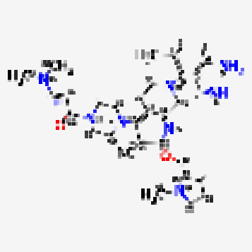 Cc1ccc(N)c(C=N)c1N1CCc2c(nc(OC[C@@H]3CCCN3C)c(C#N)c2N2CCN(C(=O)/C=C/N(C)C)CC2)C1